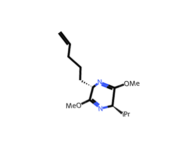 C=CCCC[C@@H]1N=C(OC)[C@@H](C(C)C)N=C1OC